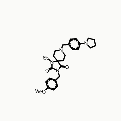 CCN1C(=O)N(Cc2ccc(OC)cc2)C(=O)C12CCN(Cc1ccc(N3CCCC3)cc1)CC2